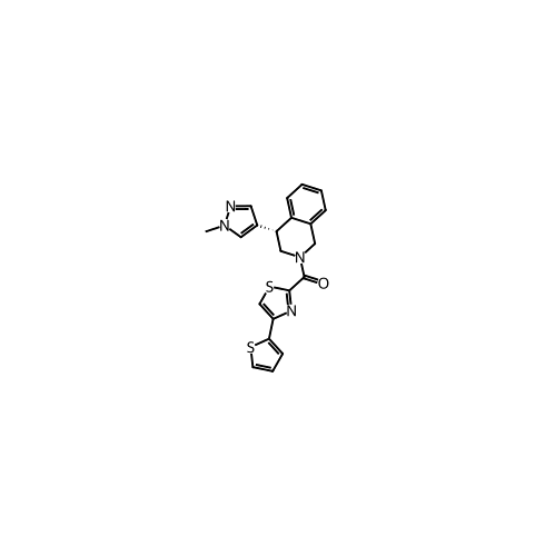 Cn1cc([C@H]2CN(C(=O)c3nc(-c4cccs4)cs3)Cc3ccccc32)cn1